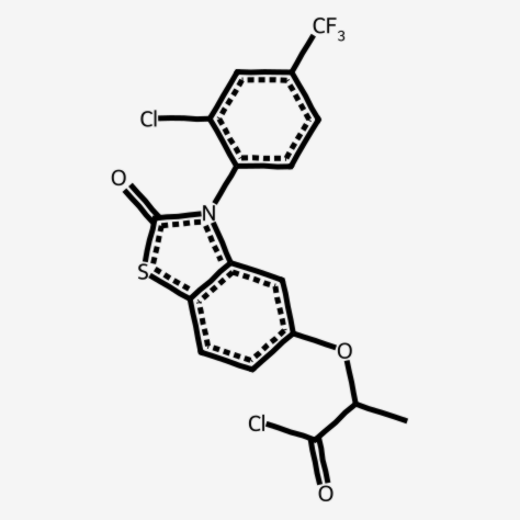 CC(Oc1ccc2sc(=O)n(-c3ccc(C(F)(F)F)cc3Cl)c2c1)C(=O)Cl